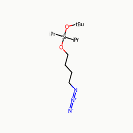 CC(C)[Si](OCCCCN=[N+]=[N-])(OC(C)(C)C)C(C)C